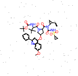 C=CC1CC1N(C(=O)NS(=O)(=O)C1CC1)C(=O)C1CC(Oc2cc(-c3ccccc3)nc3cc(OC)ccc23)CN1C(=O)C(NC(=O)OC(C)(C)C)C(C)(C)C